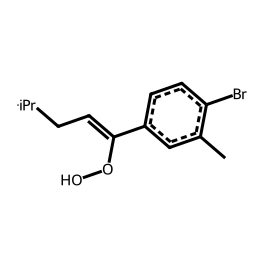 C[C](C)CC=C(OO)c1ccc(Br)c(C)c1